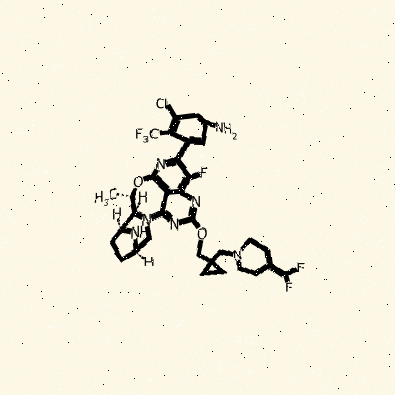 C[C@@H]1Oc2nc(-c3cc(N)cc(Cl)c3C(F)(F)F)c(F)c3nc(OCC4(CN5CCC(=C(F)F)CC5)CC4)nc(c23)N2C[C@H]3CC[C@H](N3)[C@@H]12